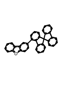 c1ccc2c(c1)-c1ccccc1C21c2ccccc2-c2c(-c3ccc4oc5ccccc5c4c3)cccc21